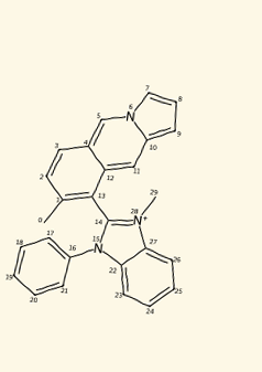 Cc1ccc2cn3cccc3cc2c1-c1n(-c2ccccc2)c2ccccc2[n+]1C